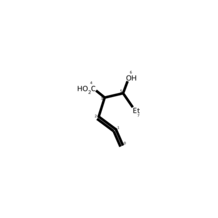 C=C=CC(C(=O)O)C(O)CC